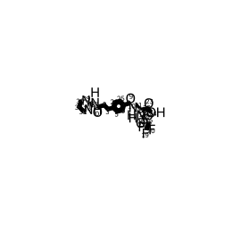 O=C(CCc1ccc(C(=O)NC[C@H](NS(=O)(=O)CC(F)(F)F)C(=O)O)cc1)NC1=NCCCN1